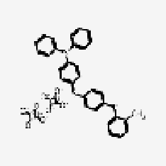 Cc1ccccc1[I+]c1ccc(Sc2ccc([S+](c3ccccc3)c3ccccc3)cc2)cc1.[O-][Cl+3]([O-])([O-])[O-].[O-][Cl+3]([O-])([O-])[O-]